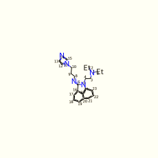 CCN(CC)CCN1/C(=N\CCCn2ccnc2)c2cccc3cccc1c23